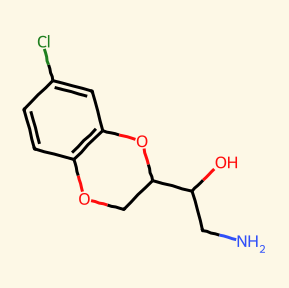 NCC(O)C1COc2ccc(Cl)cc2O1